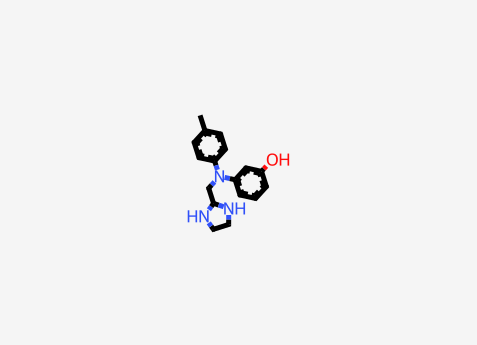 Cc1ccc(N(CC2NCCN2)c2cccc(O)c2)cc1